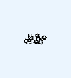 c1ccc(-c2ccnc3c2sc2ccccc23)c(-c2ccccc2-n2c3ccccc3c3ccccc32)c1